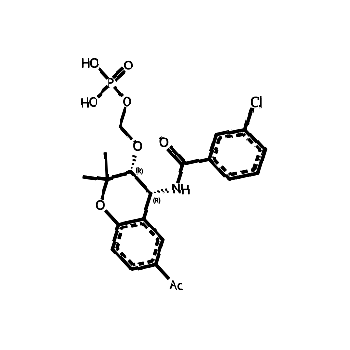 CC(=O)c1ccc2c(c1)[C@@H](NC(=O)c1cccc(Cl)c1)[C@@H](OCOP(=O)(O)O)C(C)(C)O2